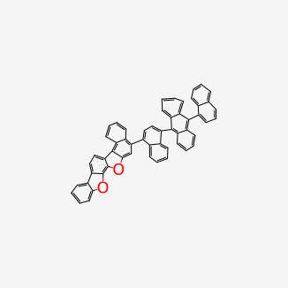 c1ccc2c(-c3c4ccccc4c(-c4ccc(-c5cc6oc7c(ccc8c9ccccc9oc87)c6c6ccccc56)c5ccccc45)c4ccccc34)cccc2c1